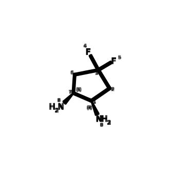 N[C@@H]1CC(F)(F)C[C@@H]1N